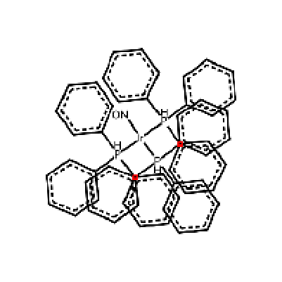 O=[N][Ir]([PH](c1ccccc1)(c1ccccc1)c1ccccc1)([PH](c1ccccc1)(c1ccccc1)c1ccccc1)[PH](c1ccccc1)(c1ccccc1)c1ccccc1